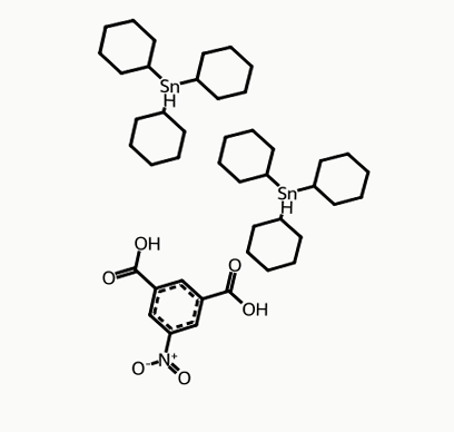 C1CC[CH]([SnH]([CH]2CCCCC2)[CH]2CCCCC2)CC1.C1CC[CH]([SnH]([CH]2CCCCC2)[CH]2CCCCC2)CC1.O=C(O)c1cc(C(=O)O)cc([N+](=O)[O-])c1